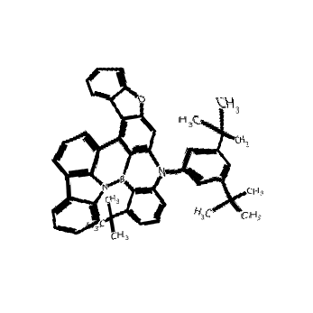 CC(C)(C)c1cc(N2c3cccc(C(C)(C)C)c3B3c4c2cc2oc5ccccc5c2c4-c2cccc4c5ccccc5n3c24)cc(C(C)(C)C)c1